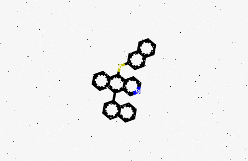 c1ccc2cc(Sc3c4ccccc4c(-c4cccc5ccccc45)c4cnccc34)ccc2c1